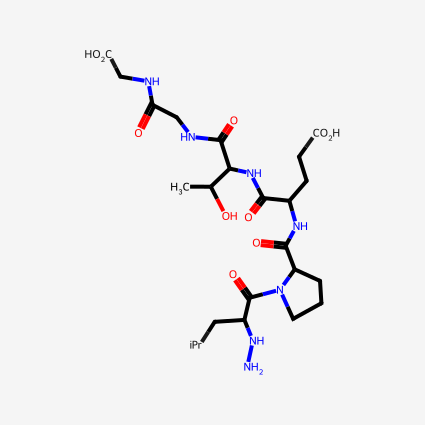 CC(C)CC(NN)C(=O)N1CCCC1C(=O)NC(CCC(=O)O)C(=O)NC(C(=O)NCC(=O)NCC(=O)O)C(C)O